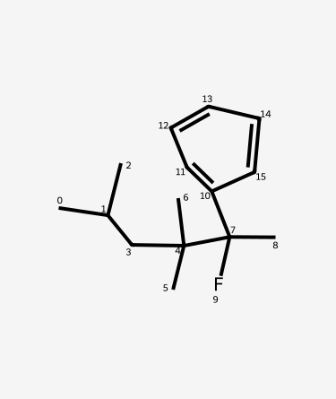 CC(C)CC(C)(C)C(C)(F)c1ccccc1